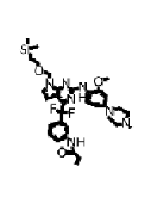 C=CC(=O)Nc1cccc(C(F)(F)c2nc(Nc3ccc(N4CCN(C)CC4)cc3OC)nc3c2ccn3COCC[Si](C)(C)C)c1